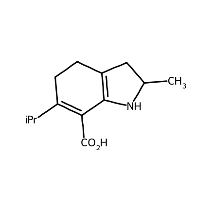 CC1CC2=C(N1)C(C(=O)O)=C(C(C)C)CC2